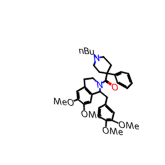 CCCCN1CCC(C(=O)N2CCc3cc(OC)c(OC)cc3C2Cc2ccc(OC)c(OC)c2)(c2ccccc2)CC1